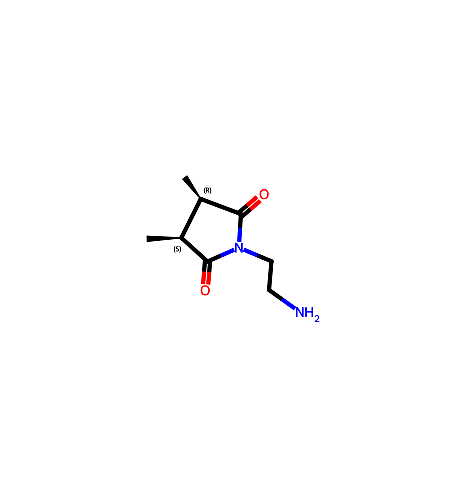 C[C@@H]1C(=O)N(CCN)C(=O)[C@@H]1C